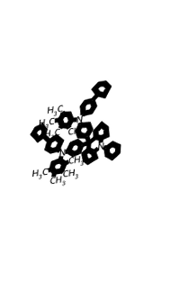 Cc1cc(N(c2ccc(-c3ccccc3)cc2)c2ccc(C3(c4ccc(N(c5ccc(-c6ccccc6)cc5)c5cc(C)c(C)c(C)c5C)cc4)c4ccccc4N(c4ccccc4)c4ccccc43)cc2)c(C)c(C)c1C